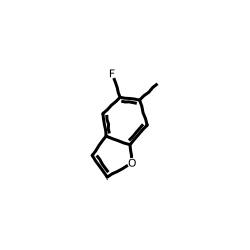 Cc1cc2o[c]cc2cc1F